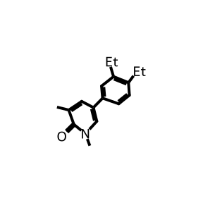 CCc1ccc(-c2cc(C)c(=O)n(C)c2)cc1CC